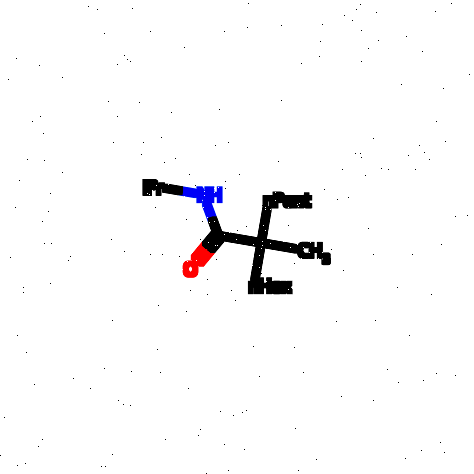 CCCCCCC(C)(CCCCC)C(=O)NC(C)C